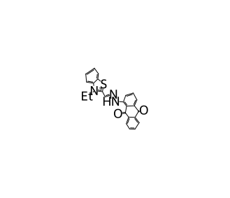 CC[n+]1c(C=NNc2cccc3c2C(=O)c2ccccc2C3=O)sc2ccccc21